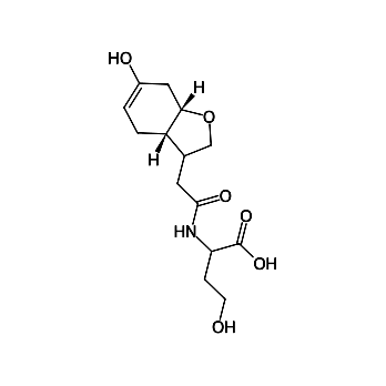 O=C(CC1CO[C@H]2CC(O)=CC[C@@H]12)NC(CCO)C(=O)O